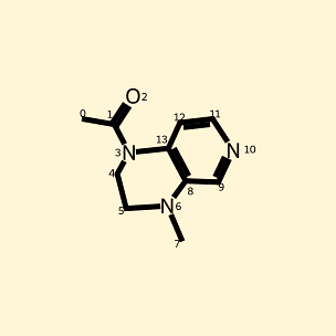 CC(=O)N1CCN(C)c2cnccc21